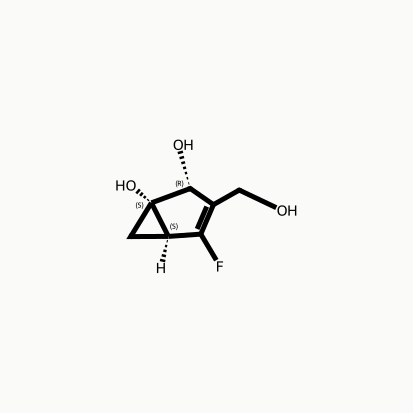 OCC1=C(F)[C@H]2C[C@@]2(O)[C@@H]1O